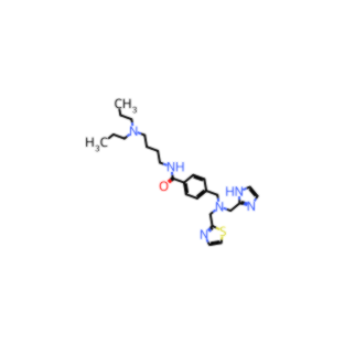 CCCN(CCC)CCCCNC(=O)c1ccc(CN(Cc2ncc[nH]2)Cc2nccs2)cc1